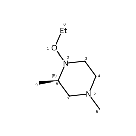 CCON1CCN(C)C[C@H]1C